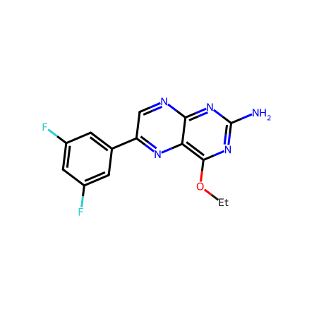 CCOc1nc(N)nc2ncc(-c3cc(F)cc(F)c3)nc12